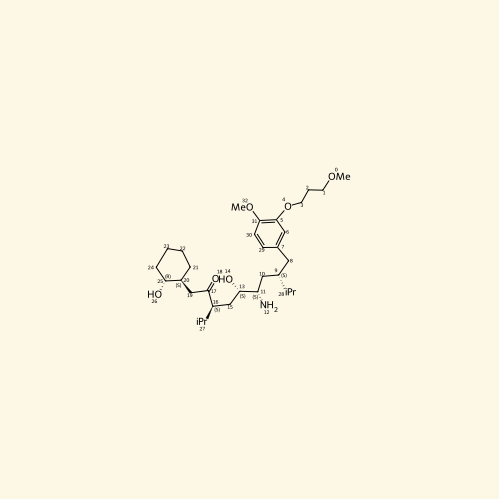 COCCCOc1cc(C[C@@H](C[C@H](N)[C@@H](O)C[C@H](C(=O)C[C@@H]2CCCC[C@H]2O)C(C)C)C(C)C)ccc1OC